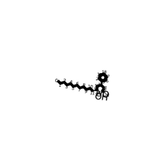 CCCCCCCCCCCC[C@H]1C[C@@H](c2ccccc2)CC(=O)N1O